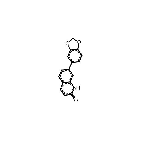 O=c1ccc2ccc(-c3ccc4c(c3)OCO4)cc2[nH]1